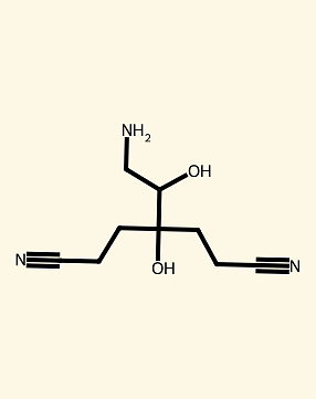 N#CCCC(O)(CCC#N)C(O)CN